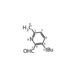 Cc1ccc(C(C)(C)C)c(C=O)n1